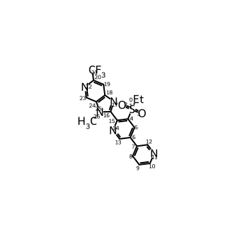 CCS(=O)(=O)c1cc(-c2cccnc2)cnc1-c1nc2cc(C(F)(F)F)ncc2n1C